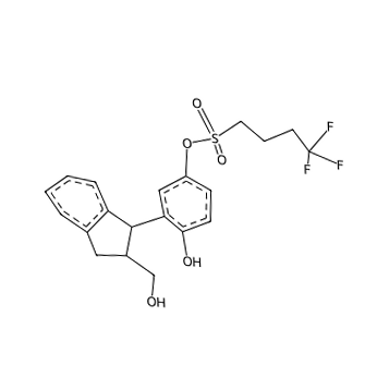 O=S(=O)(CCCC(F)(F)F)Oc1ccc(O)c(C2c3ccccc3CC2CO)c1